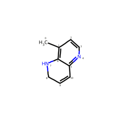 Cc1ccnc2c1NCC=C2